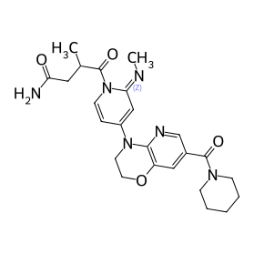 C/N=c1/cc(N2CCOc3cc(C(=O)N4CCCCC4)cnc32)ccn1C(=O)C(C)CC(N)=O